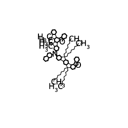 CCCCCCCCC1(CCCCCCCC)c2cc(N(c3ccc4c(c3)C(C)(C)c3c5c(c6c(oc7ccccc76)c3-4)-c3ccccc3C5(C)C)c3ccc4ccccc4c3)ccc2-c2cc3c(cc21)-c1c(ccc2oc4ccccc4c12)C3(CCCCCCCC)CCCCCCCC